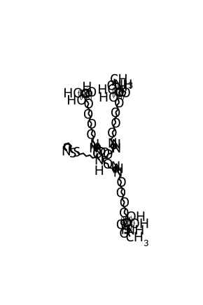 CC(=O)N[C@H]1[C@H]2OC[C@](COCCOCCOCCOCCn3cc(COCC(COCc4cn(CCOCCOCCOCCOC[C@@]56CO[C@@H](O5)[C@H](NC(C)=O)[C@@H](O)[C@H]6O)nn4)(COCc4cn(CCOCCOCCOCCOC[C@]56CO[C@H](C[C@@H](O)[C@H]5O)O6)nn4)NC(=O)CCCCCSSc4ccccn4)nn3)(O2)[C@H](O)[C@@H]1O